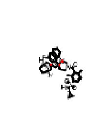 Cc1ccc(S(=O)(=O)NC2CC2)c(C)c1C(=O)N1CCC(CCN2[C@@H]3CC[C@H]2CC(n2c(C)nc4ccccc42)C3)(c2cccc(F)c2)CC1